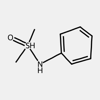 C[SH](C)(=O)Nc1ccccc1